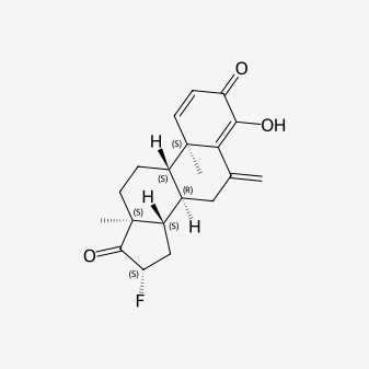 C=C1C[C@@H]2[C@H](CC[C@]3(C)C(=O)[C@@H](F)C[C@@H]23)[C@@]2(C)C=CC(=O)C(O)=C12